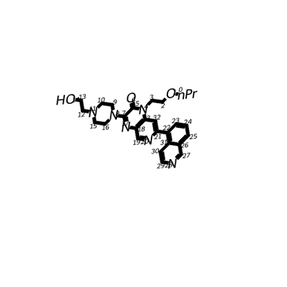 CCCOCCn1c(=O)c(N2CCN(CCO)CC2)nc2cnc(-c3cccc4cnccc34)cc21